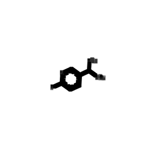 CCCCC(CCCC)c1ccc(F)nc1